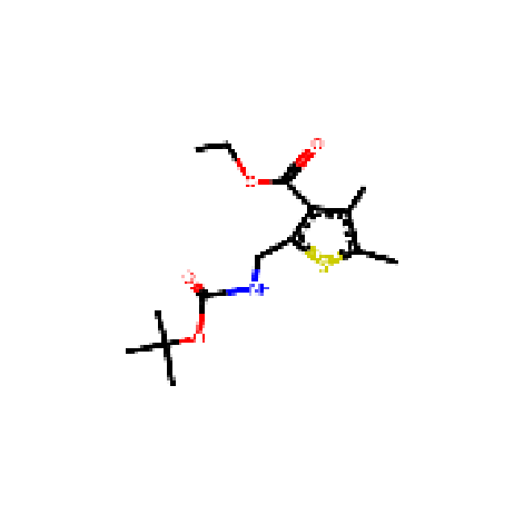 CCOC(=O)c1c(CNC(=O)OC(C)(C)C)sc(C)c1C